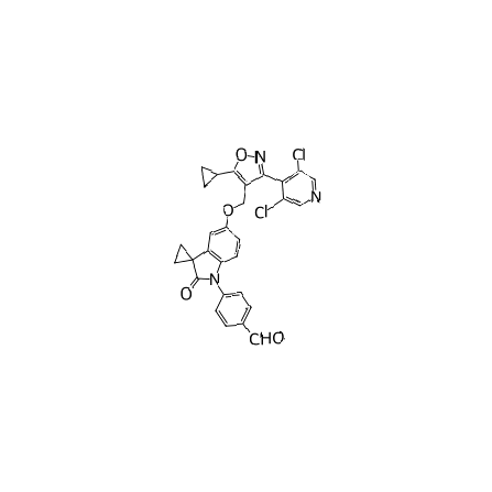 O=Cc1ccc(N2C(=O)C3(CC3)c3cc(OCc4c(-c5c(Cl)cncc5Cl)noc4C4CC4)ccc32)cc1